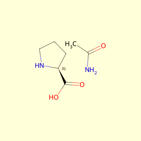 CC(N)=O.O=C(O)[C@@H]1CCCN1